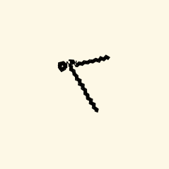 CCCCCCCCCCCCCCCCCCCC1N(CCCCCCCCCCCCC)C=CN1c1ccccc1